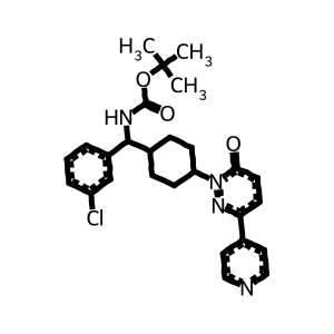 CC(C)(C)OC(=O)NC(c1cccc(Cl)c1)C1CCC(n2nc(-c3ccncc3)ccc2=O)CC1